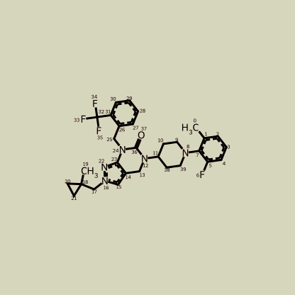 Cc1cccc(F)c1N1CCC(N2Cc3cn(CC4(C)CC4)nc3N(Cc3ccccc3C(F)(F)F)C2=O)CC1